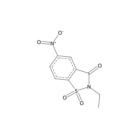 CCN1C(=O)c2cc([N+](=O)[O-])ccc2S1(=O)=O